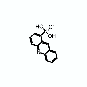 [O-][N+](O)(O)c1cccc2nc3ccccc3cc12